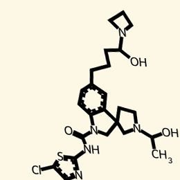 CC(O)N1CCC2(CN(C(=O)Nc3ncc(Cl)s3)c3ccc(CCCC(O)N4CCC4)cc32)C1